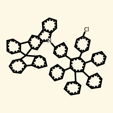 Clc1ccc(-c2c(-c3ccccc3)c(-c3ccccc3)c(-c3ccccc3)c(-c3ccccc3)c2-c2ccc(-n3c4ccccc4c4cc5c(cc43)C3(c4ccccc4-c4ccccc43)c3ccccc3-5)cc2)cc1